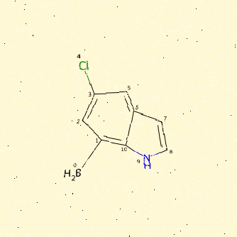 Bc1cc(Cl)cc2cc[nH]c12